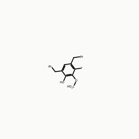 CC(C)Cc1cc(CC(C)C)c(F)c(OC(=O)O)c1O